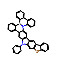 c1ccc(-n2c3cc4c(cc3c3cc5c(cc32)sc2ccccc25)N2B(c3ccccc3-c3ccccc32)c2ccccc2-4)cc1